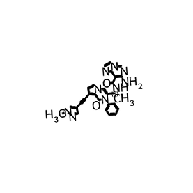 C[C@@H](NC(=O)c1c(N)ncn2ccnc12)c1cn2ccc(C#Cc3cnn(C)c3)c2c(=O)n1-c1ccccc1